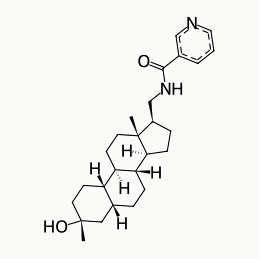 C[C@@]1(O)CC[C@H]2[C@H](CC[C@@H]3[C@@H]2CC[C@]2(C)[C@@H](CNC(=O)c4cccnc4)CC[C@@H]32)C1